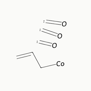 C=C[CH2][Co].[C]=O.[C]=O.[C]=O